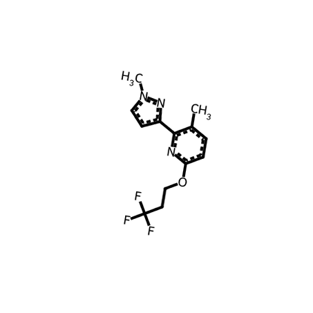 Cc1ccc(OCCC(F)(F)F)nc1-c1ccn(C)n1